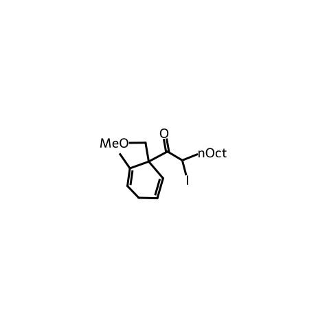 CCCCCCCCC(I)C(=O)C1(COC)C=CCC=C1C